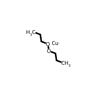 CCCOOCCC.[Cu]